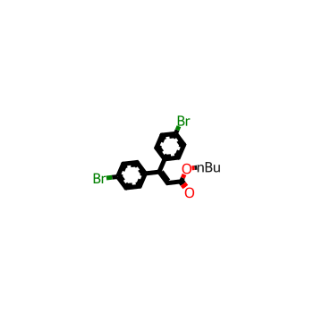 CCCCOC(=O)C=C(c1ccc(Br)cc1)c1ccc(Br)cc1